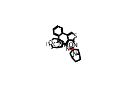 COc1ccccc1-c1csc2nc(N3C4CCC3CC(O)C4)nc(N3C4CCC3COC4)c12